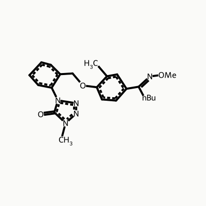 CCCCC(=NOC)c1ccc(OCc2ccccc2-n2nnn(C)c2=O)c(C)c1